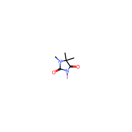 CN1C(=O)N(I)C(=O)C1(C)C